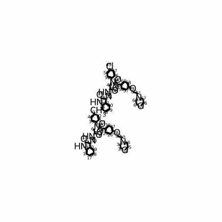 Cc1ccc(N(CC(=O)NN=C2C(=O)Nc3ccccc32)S(=O)(=O)c2ccc(OCCN3CCOCC3)cc2)cc1.O=C(CN(c1ccc(Cl)cc1)S(=O)(=O)c1ccc(OCCN2CCOCC2)cc1)NN=C1C(=O)Nc2ccccc21